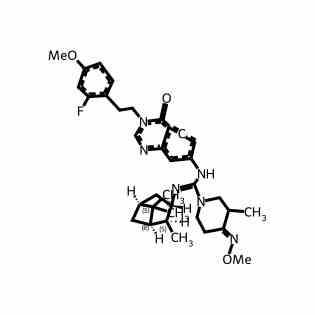 CON=C1CCN(C(=N[C@H]2C[C@@H]3C[C@H]([C@@H]2C)C3(C)C)Nc2ccc3c(=O)n(CCc4ccc(OC)cc4F)cnc3c2)CC1C